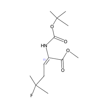 COC(=O)/C(=C\CC(C)(C)F)NC(=O)OC(C)(C)C